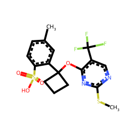 CSc1ncc(C(F)(F)F)c(OC2(c3cc(C)ccc3S(=O)(=O)O)CCC2)n1